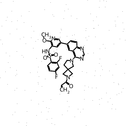 C=CC(=O)N1CC2(CCN(c3ncnc4ccc(-c5cnc(OC)c(NS(=O)(=O)c6ccc(F)cc6F)c5)cc34)C2)C1